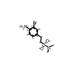 CN(C)S(=O)(=O)CCc1ccc(N)c(Br)c1